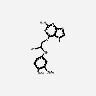 COc1ccc(NC(CSc2nc(N)nc3nc[nH]c23)C(C)C)cc1OC